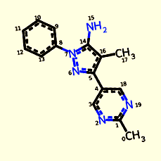 Cc1ncc(-c2nn(-c3ccccc3)c(N)c2C)cn1